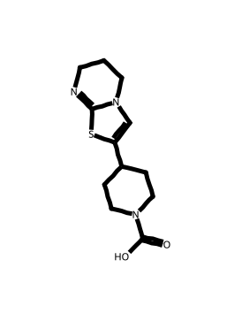 O=C(O)N1CCC(C2=CN3CCCN=C3S2)CC1